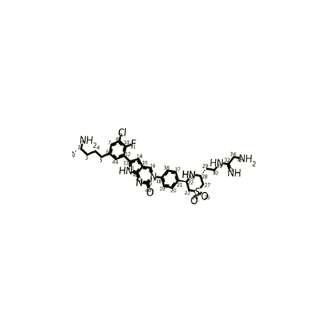 C[C@H](N)CCCc1cc(Cl)c(F)c(-c2cc3cn(-c4ccc([C@@H]5CS(=O)(=O)C[C@@H](CCNC(=N)CN)N5)cc4)c(=O)nc3[nH]2)c1